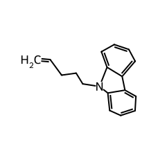 C=CCCCn1c2ccccc2c2ccccc21